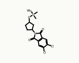 CC(C)(C)[Si](C)(C)OC1CCC(N2C(=O)c3cc(Cl)c(Cl)cc3C2=O)C1